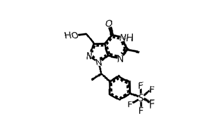 Cc1nc2c(c(CO)nn2C(C)c2ccc(S(F)(F)(F)(F)F)cc2)c(=O)[nH]1